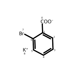 O=C([O-])c1ccccc1Br.[K+]